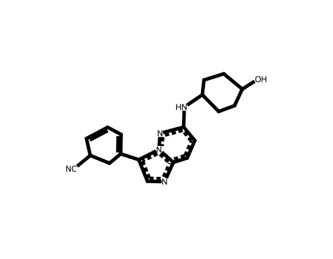 N#CC1C=CC=C(c2cnc3ccc(NC4CCC(O)CC4)nn23)C1